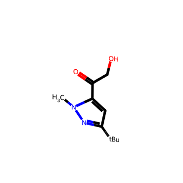 Cn1nc(C(C)(C)C)cc1C(=O)CO